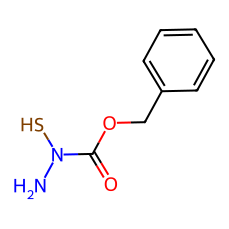 NN(S)C(=O)OCc1ccccc1